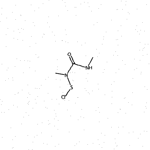 CNC(=O)N(C)SCl